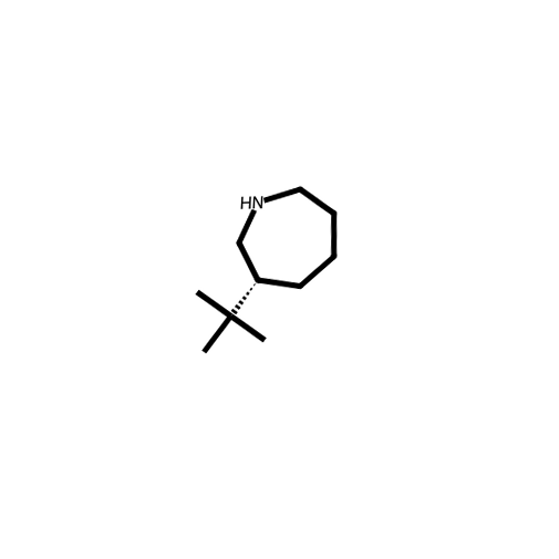 CC(C)(C)[C@H]1CCCCNC1